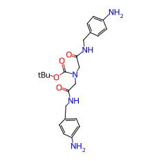 CC(C)(C)OC(=O)N(CC(=O)NCc1ccc(N)cc1)CC(=O)NCc1ccc(N)cc1